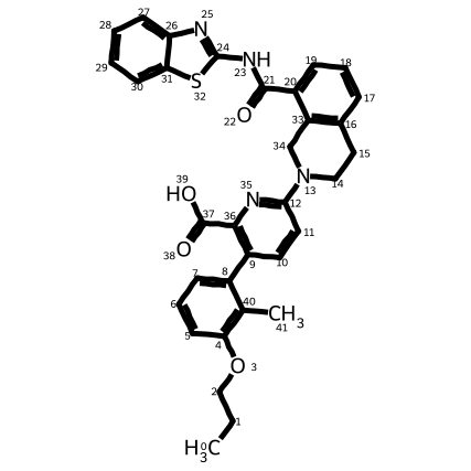 CCCOc1cccc(-c2ccc(N3CCc4cccc(C(=O)Nc5nc6ccccc6s5)c4C3)nc2C(=O)O)c1C